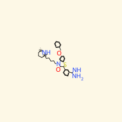 C[C@H]1CCC[C@@](C)(CCCCCN2C(=O)C(c3cccc(C(=N)N)c3)Sc3ccc(OCc4ccccc4)cc32)N1